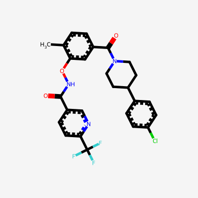 Cc1ccc(C(=O)N2CCC(c3ccc(Cl)cc3)CC2)cc1ONC(=O)c1ccc(C(F)(F)F)nc1